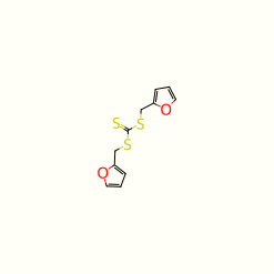 S=C(SCc1ccco1)SCc1ccco1